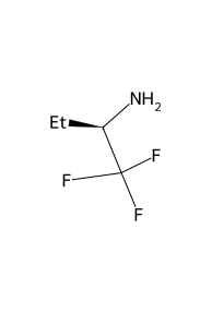 CC[C@@H](N)C(F)(F)F